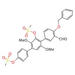 COc1cc(-c2ccc(OS(C)(=O)=O)cc2)c(OC)c(OS(C)(=O)=O)c1-c1ccc(OCc2ccccc2)c(C=O)c1